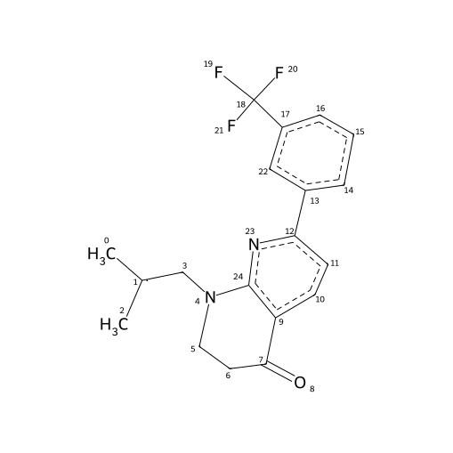 C[C](C)CN1CCC(=O)c2ccc(-c3cccc(C(F)(F)F)c3)nc21